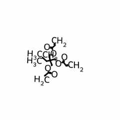 C=CC(=O)OCC(COC(=O)C=C)(COC(=O)C=C)CC(C)(C)C